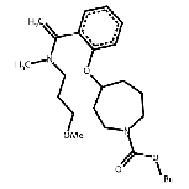 C=C(c1ccccc1OC1CCCN(C(=O)OC(C)(C)C)CC1)N(C)CCCOC